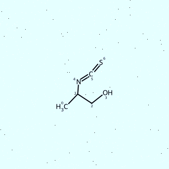 CC(CO)N=C=S